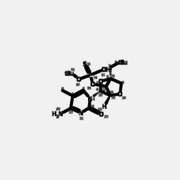 Cc1cn([C@@H]2O[C@@]3(CC(C)(C)C)CO[C@H]2C3OP(O)(=S)OC(C)(C)C)c(=O)nc1N